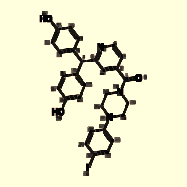 O=C(c1ccnc(C(c2ccc(O)cc2)c2ccc(O)cc2)c1)N1CCN(c2ccc(F)cc2)CC1